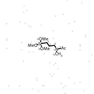 CO[Si](CCCN(C)C(C)=O)(OC)OC